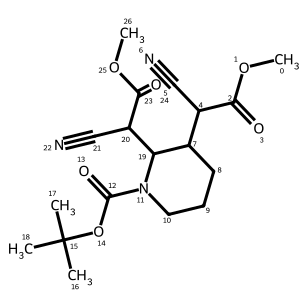 COC(=O)C(C#N)C1CCCN(C(=O)OC(C)(C)C)C1C(C#N)C(=O)OC